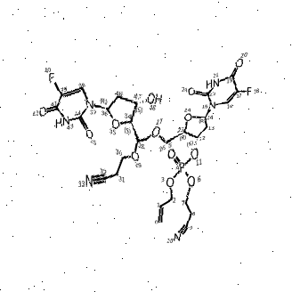 C=CCOP(=O)(OCCC#N)O[C@H]1C[C@H](n2cc(F)c(=O)[nH]c2=O)O[C@@H]1COC(OCCC#N)[C@H]1O[C@@H](n2cc(F)c(=O)[nH]c2=O)C[C@@H]1O